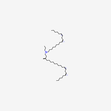 C=C(CCCCCCCCC/C=C\C/C=C\CCCCC)CCN(CCC)CCCCCCCC/C=C\C/C=C\CCCCC